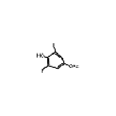 CC(=O)Oc1cc(I)c(O)c(I)c1